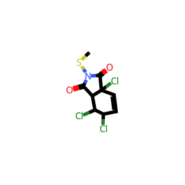 CSN1C(=O)C2C(Cl)C(Cl)C=CC2(Cl)C1=O